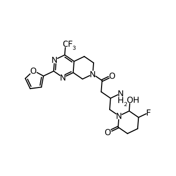 NC(CC(=O)N1CCc2c(nc(-c3ccco3)nc2C(F)(F)F)C1)CN1C(=O)CCC(F)C1O